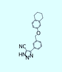 N#Cc1[nH]nnc1-c1cccc(COc2ccc3c(c2)CCCC3)c1